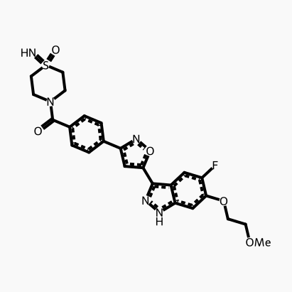 COCCOc1cc2[nH]nc(-c3cc(-c4ccc(C(=O)N5CCS(=N)(=O)CC5)cc4)no3)c2cc1F